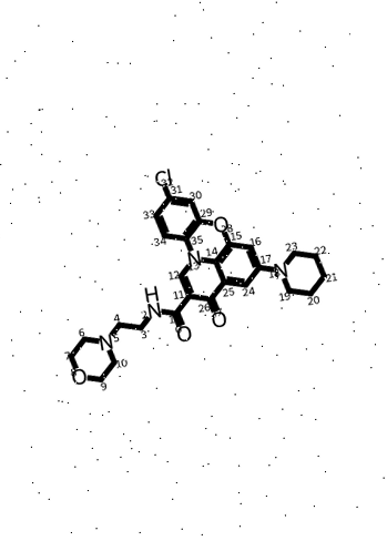 O=C(NCCN1CCOCC1)c1cn2c3c(cc(N4CCCCC4)cc3c1=O)Oc1cc(Cl)ccc1-2